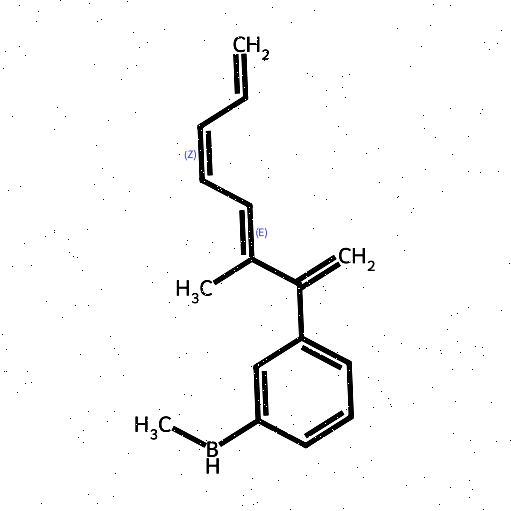 C=C/C=C\C=C(/C)C(=C)c1cccc(BC)c1